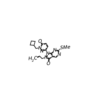 C=CCn1c(=O)c2cnc(SC)nc2n1-c1ccc(=O)n(CC2CCC2)n1